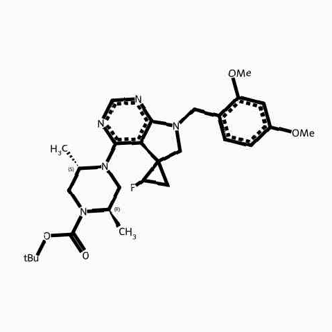 COc1ccc(CN2CC3(CC3F)c3c2ncnc3N2C[C@@H](C)N(C(=O)OC(C)(C)C)C[C@@H]2C)c(OC)c1